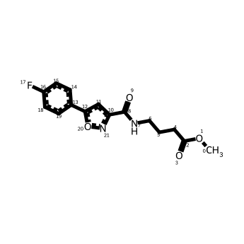 COC(=O)CCCNC(=O)c1cc(-c2ccc(F)cc2)on1